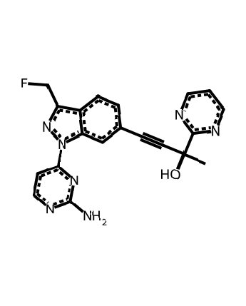 CC(O)(C#Cc1ccc2c(CF)nn(-c3ccnc(N)n3)c2c1)c1ncccn1